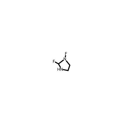 FC1NCCN1F